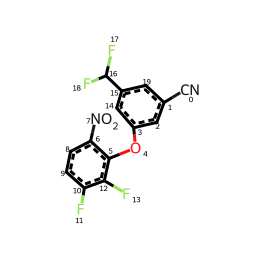 N#Cc1cc(Oc2c([N+](=O)[O-])ccc(F)c2F)cc(C(F)F)c1